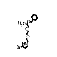 C[C@H](COCCOCCn1ccc(Br)n1)OCc1ccccc1